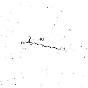 CCCCCCCCCOC(=O)O.Cl